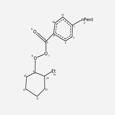 CCCCCc1ccc(C(=O)OO[C]2CCCCC2CC)cc1